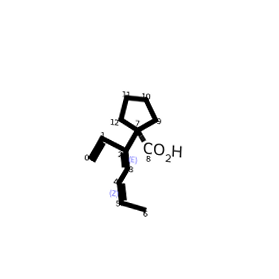 C=C/C(=C\C=C/C)C1(C(=O)O)CCCC1